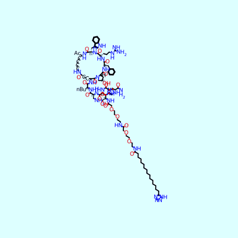 CCCC[C@H](NC(=O)[C@H](CN)NC(=O)[C@H](Cc1c[nH]cn1)NC(=O)[C@H](CCC(N)=O)NC(=O)[C@H](CO)NC(=O)COCCOCCNC(=O)COCCOCCNC(=O)CCCCCCCCCCCCCCCc1nnn[nH]1)C(=O)N[C@H]1CCC(=O)NCCCC[C@@H](C(C)=O)NC(=O)[C@H](Cc2c[nH]c3ccccc23)NC(=O)[C@H](CCCNC(=N)N)NC(=O)[C@@H](Cc2ccccc2)NC(=O)[C@@H]2C[C@@H](O)CN2C1=O